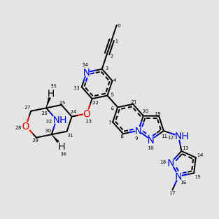 CC#Cc1cc(-c2ccn3nc(Nc4ccn(C)n4)cc3c2)c(OC2C[C@H]3COC[C@@H](C2)N3)cn1